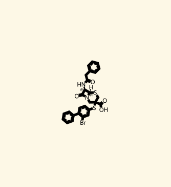 O=C(Cc1ccccc1)N[C@@H]1C(=O)N2CC(Sc3ccc(-c4ccccc4)c(Br)c3)(C(=O)O)CS[C@H]12